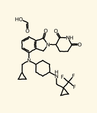 O=C1CCC(N2Cc3c(cccc3N(CC3CC3)C3CCC(NCC4(C(F)(F)F)CC4)CC3)C2=O)C(=O)N1.O=CO